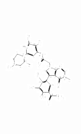 CCN1CCN(c2cc(NC(=O)Cn3cc(-c4cc(C(N)=O)c(O)c(F)c4F)c4c(=O)n(C)cnc43)c(Cl)c(F)n2)[C@@H](C)C1